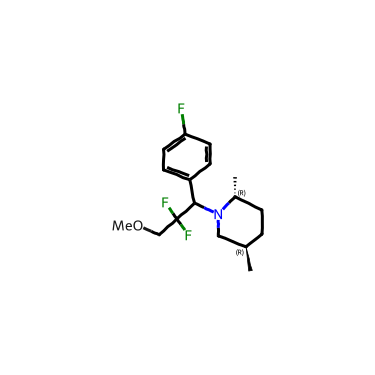 COCC(F)(F)C(c1ccc(F)cc1)N1C[C@H](C)CC[C@H]1C